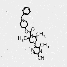 Cc1nc(C#N)cnc1N1C[C@@H](C)N(C(=O)OC2CCN(Cc3ccccc3)CC2)[C@H](C)C1